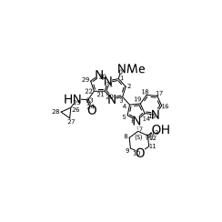 CNc1cc(-c2cn([C@H]3CCOC[C@@H]3O)c3ncccc23)nc2c(C(=O)NC3CC3)cnn12